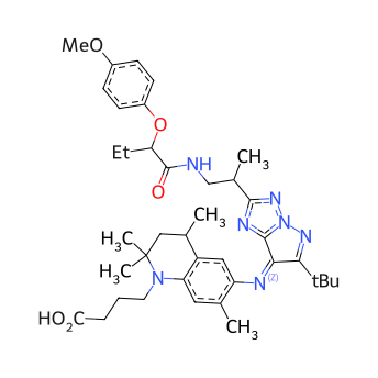 CCC(Oc1ccc(OC)cc1)C(=O)NCC(C)c1nc2n(n1)N=C(C(C)(C)C)/C2=N/c1cc2c(cc1C)N(CCCC(=O)O)C(C)(C)CC2C